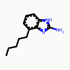 CCCCCc1cccc2[nH]c(N)nc12